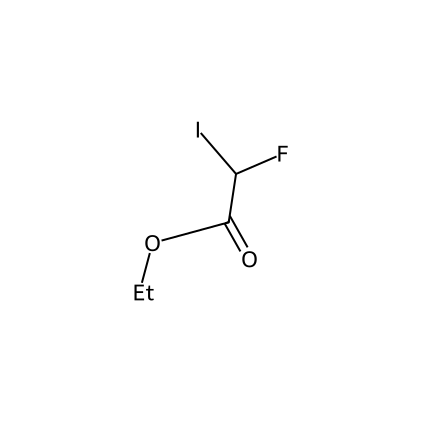 CCOC(=O)C(F)I